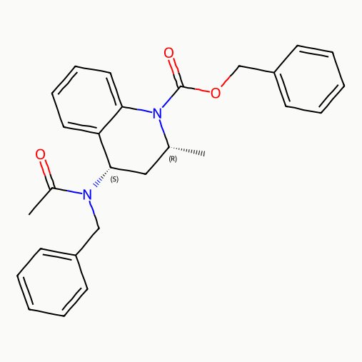 CC(=O)N(Cc1ccccc1)[C@H]1C[C@@H](C)N(C(=O)OCc2ccccc2)c2ccccc21